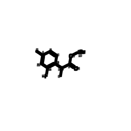 Cc1ccc(N(C)C(=O)OC(C)(C)C)c(F)c1